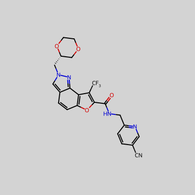 N#Cc1ccc(CNC(=O)c2oc3ccc4cn(C[C@H]5COCCO5)nc4c3c2C(F)(F)F)nc1